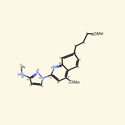 COCCCc1ccc2c(OC)cc(-n3ccc(NC(C)C)n3)nc2c1